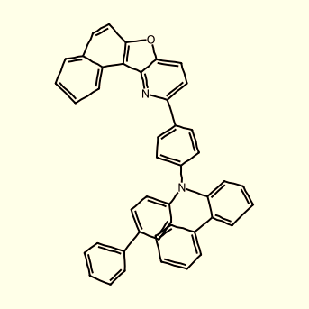 c1ccc(-c2ccc(N(c3ccc(-c4ccc5oc6ccc7ccccc7c6c5n4)cc3)c3ccccc3-c3ccccc3)cc2)cc1